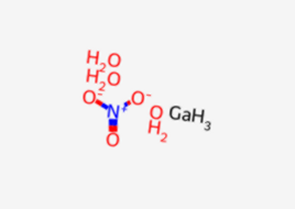 O.O.O.O=[N+]([O-])[O-].[GaH3]